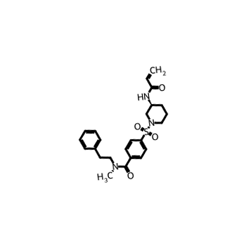 C=CC(=O)N[C@H]1CCCN(S(=O)(=O)c2ccc(C(=O)N(C)CCc3ccccc3)cc2)C1